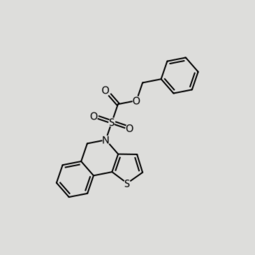 O=C(OCc1ccccc1)S(=O)(=O)N1Cc2ccccc2-c2sccc21